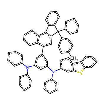 Cc1ccc(C2(c3ccccc3)c3ccccc3-c3c2cc(-c2cc(N(c4ccccc4)c4ccccc4)cc(N(c4ccccc4)c4ccc5c(c4)sc4ccccc45)c2)c2ccccc32)cc1